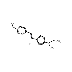 CCN(C)c1ccc(/C=C/c2cc[n+](CC)cc2)cc1.[I-]